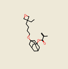 C=C(C)C(=O)OC12CC3CC(CC(OCCCCC4(CC)COC4)(C3)C1)C2